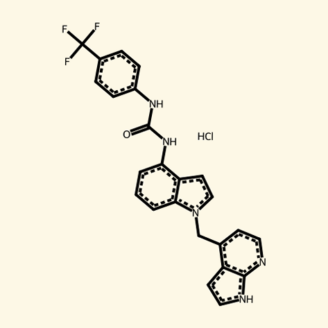 Cl.O=C(Nc1ccc(C(F)(F)F)cc1)Nc1cccc2c1ccn2Cc1ccnc2[nH]ccc12